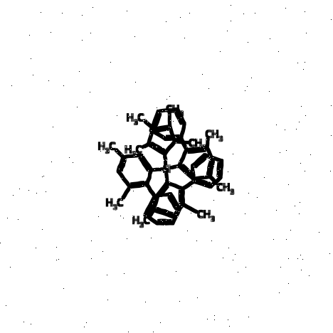 CC1=C(C)C(C)C([Si](c2cc(C)cc(C)c2-c2ccccc2)(c2cc(C)cc(C)c2-c2ccccc2)c2cc(C)cc(C)c2-c2ccccc2)=C1C